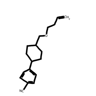 C=CCCOCC1CCC(c2ccc(C#N)cc2)CC1